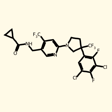 O=C(NCc1cnc(N2CCC(c3cc(Cl)c(F)c(Cl)c3F)(C(F)(F)F)C2)cc1C(F)(F)F)C1CC1